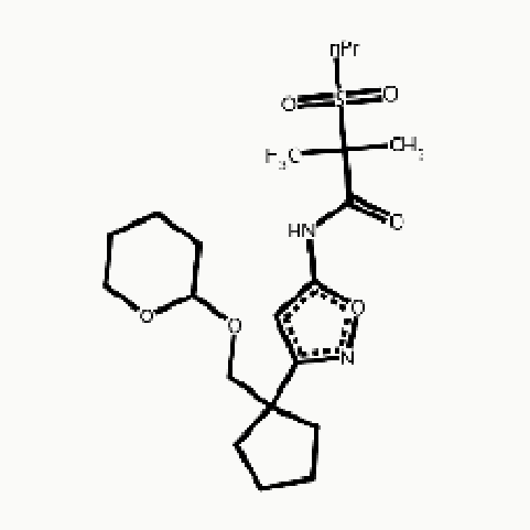 CCCS(=O)(=O)C(C)(C)C(=O)Nc1cc(C2(COC3CCCCO3)CCCC2)no1